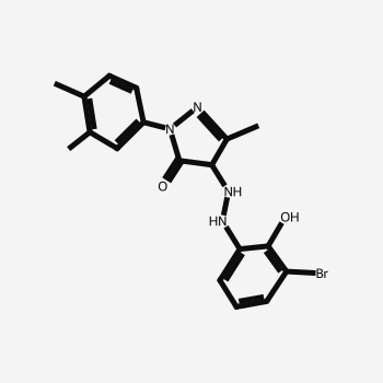 CC1=NN(c2ccc(C)c(C)c2)C(=O)C1NNc1cccc(Br)c1O